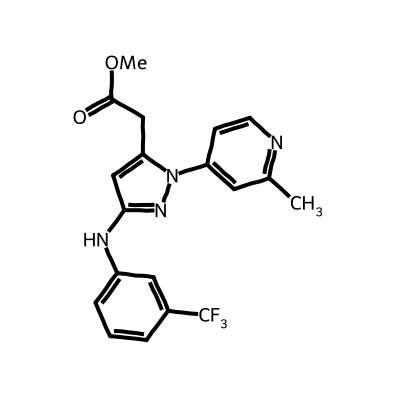 COC(=O)Cc1cc(Nc2cccc(C(F)(F)F)c2)nn1-c1ccnc(C)c1